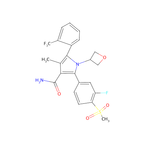 Cc1c(C(N)=O)c(-c2ccc(S(C)(=O)=O)c(F)c2)n(C2COC2)c1-c1ccccc1C(F)(F)F